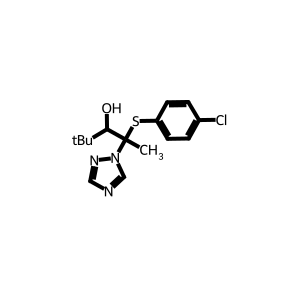 CC(C)(C)C(O)C(C)(Sc1ccc(Cl)cc1)n1cncn1